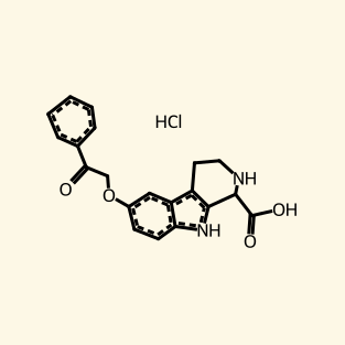 Cl.O=C(COc1ccc2[nH]c3c(c2c1)CCNC3C(=O)O)c1ccccc1